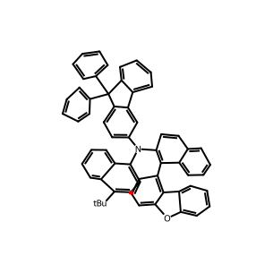 CC(C)(C)c1ccc(N(c2ccc3c(c2)-c2ccccc2C3(c2ccccc2)c2ccccc2)c2ccc3ccccc3c2-c2cccc3oc4ccccc4c23)c2ccccc12